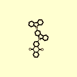 O=C1c2ccccc2C(=O)c2cc(-n3c4ccccc4c4cc(-n5c6ccccc6c6ccccc65)ccc43)ccc21